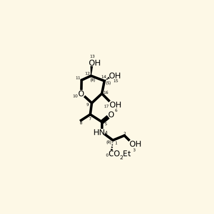 CCOC(=O)[C@@H](CO)NC(=O)C(C)C1OC[C@@H](O)[C@H](O)C1O